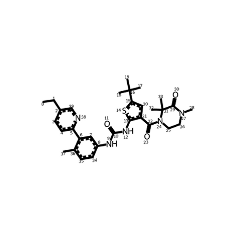 CCc1ccc(-c2cc(NC(=O)Nc3sc(C(C)(C)C)cc3C(=O)N3CCN(C)C(=O)C3(C)C)ccc2C)nc1